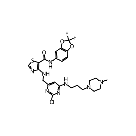 CN1CCN(CCCNc2cc(CNc3ncsc3C(=O)Nc3ccc4c(c3)OC(F)(F)O4)nc(Cl)n2)CC1